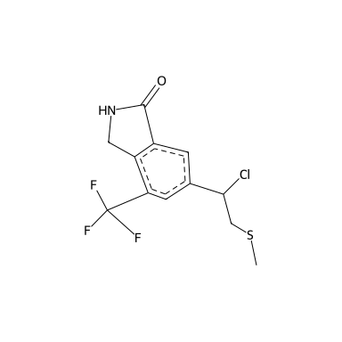 CSCC(Cl)c1cc2c(c(C(F)(F)F)c1)CNC2=O